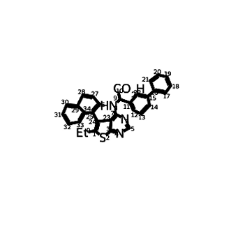 CCc1sc2ncnc(NC(C(=O)O)c3cccc(-c4ccccc4)c3)c2c1-c1cccc2ccccc12